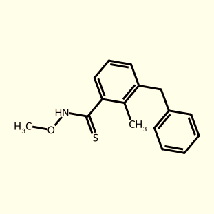 CONC(=S)c1cccc(Cc2ccccc2)c1C